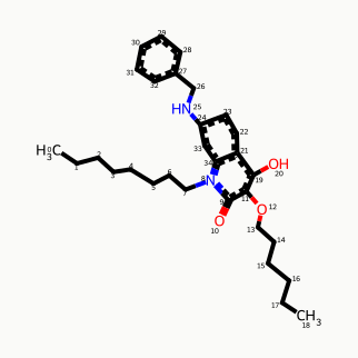 CCCCCCCCn1c(=O)c(OCCCCCC)c(O)c2ccc(NCc3ccccc3)cc21